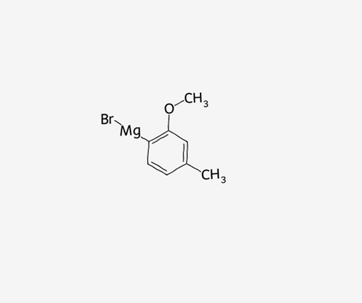 COc1cc(C)cc[c]1[Mg][Br]